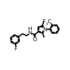 Cc1cc(C(=O)NCCc2cccc(F)c2)c(C)n1-c1ccccc1C(F)(F)F